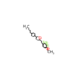 CCCCCC1CCC(C2CCC(CCC3=CC=C(OCC)C(F)(F)C3(F)F)OC2)CC1